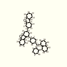 c1ccc(N(c2ccc(-c3cc(-c4ccc5c(c4)oc4ccccc45)cc4oc5ccccc5c34)cc2)c2cccc3ccccc23)cc1